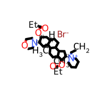 C=CC[N+]1([C@H]2CC3C4CC[C@H]5C[C@H](OC(=O)CC)[C@@H](N6CCOCC6)C[C@]5(C)C4CC[C@]3(C)[C@H]2OC(=O)CC)CCCCC1.[Br-]